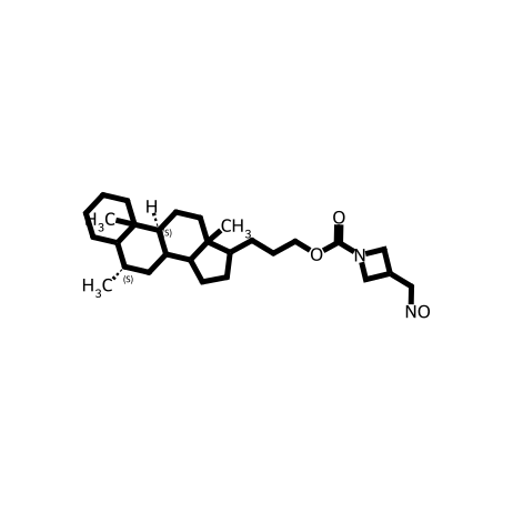 C[C@H]1CC2C3CCC(CCCOC(=O)N4CC(CN=O)C4)C3(C)CC[C@@H]2C2(C)CCCCC12